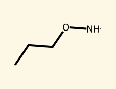 CCCO[NH]